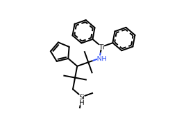 C[SiH](C)CC(C)(C)C(C1=CC=CC1)C(C)(C)[NH][Ti]([c]1ccccc1)[c]1ccccc1